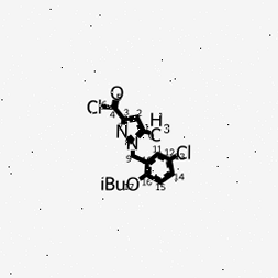 Cc1cc(C(=O)Cl)nn1Cc1cc(Cl)ccc1OCC(C)C